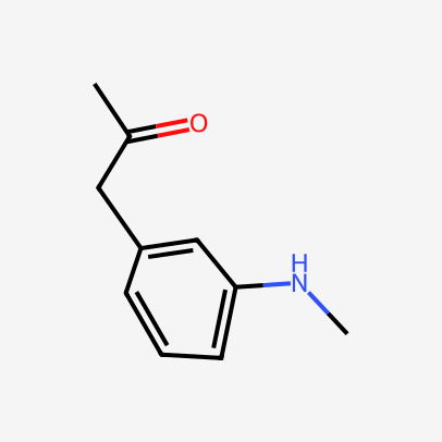 CNc1cccc(CC(C)=O)c1